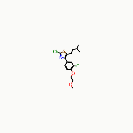 COCCOc1ccc(-c2nc(Cl)sc2CCC(C)C)cc1F